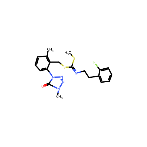 CS/C(=N\CCc1ccccc1F)SCc1c(C)cccc1-n1nnn(C)c1=O